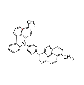 Cc1ccc(N(c2ccc(-c3ccc4ccc5c(C)ccc6ccc3c4c65)cc2)c2ccccc2-c2ccccc2)cc1